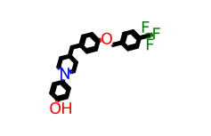 Oc1ccc(N2CCC(Cc3ccc(OCc4ccc(C(F)(F)F)cc4)cc3)CC2)cc1